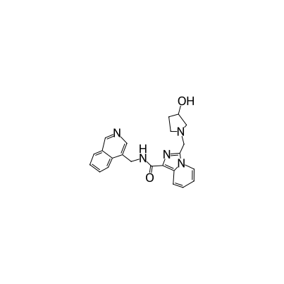 O=C(NCc1cncc2ccccc12)c1nc(CN2CCC(O)C2)n2ccccc12